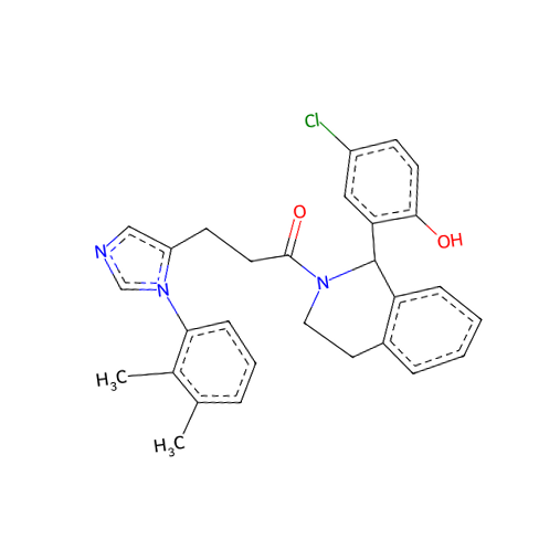 Cc1cccc(-n2cncc2CCC(=O)N2CCc3ccccc3C2c2cc(Cl)ccc2O)c1C